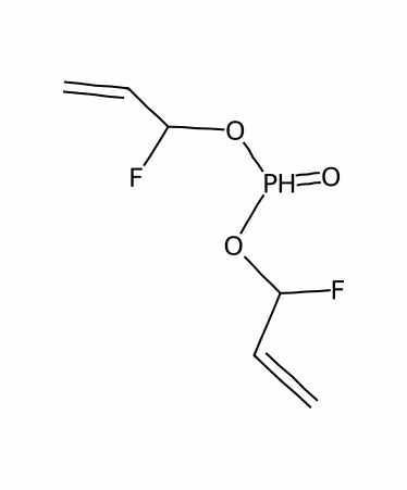 C=CC(F)O[PH](=O)OC(F)C=C